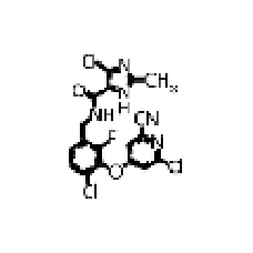 Cc1nc(Cl)c(C(=O)NCc2ccc(Cl)c(Oc3cc(Cl)nc(C#N)c3)c2F)[nH]1